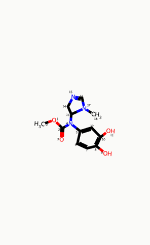 COC(=O)N(c1ccc(O)c(O)c1)C1CN=CN1C